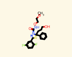 COCCONC(=O)N1N=C(c2cc(F)ccc2F)SC1(CCCO)c1ccccc1